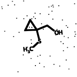 CSC1(CO)CC1